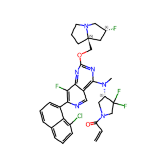 C=CC(=O)N1C[C@H](N(C)c2nc(OC[C@@]34CCCN3C[C@H](F)C4)nc3c(F)c(-c4cccc5cccc(Cl)c45)ncc23)C(F)(F)C1